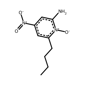 CCCCc1cc([N+](=O)[O-])cc(N)[n+]1[O-]